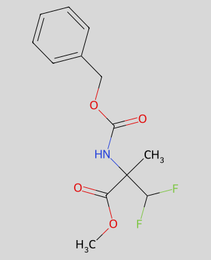 COC(=O)C(C)(NC(=O)OCc1ccccc1)C(F)F